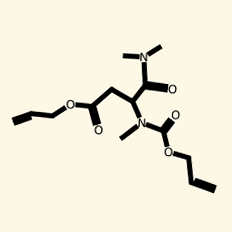 C=CCOC(=O)CC(C(=O)N(C)C)N(C)C(=O)OCC=C